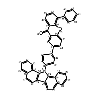 O=c1c2cc(-c3ccc(-n4c5c6ccccc6ccc5c5ccc6ccccc6c54)cc3)ccc2oc2c(-c3ccccc3)cccc12